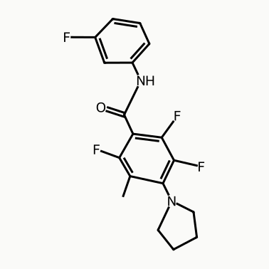 Cc1c(F)c(C(=O)Nc2cccc(F)c2)c(F)c(F)c1N1CCCC1